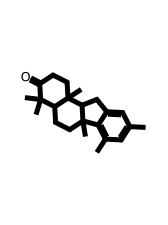 Cc1cc(C)c2c(c1)CC1C2(C)CCC2C(C)(C)C(=O)CCC21C